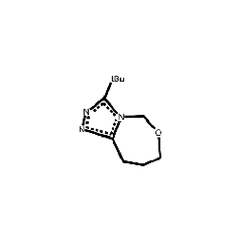 CC(C)(C)c1nnc2n1COCCC2